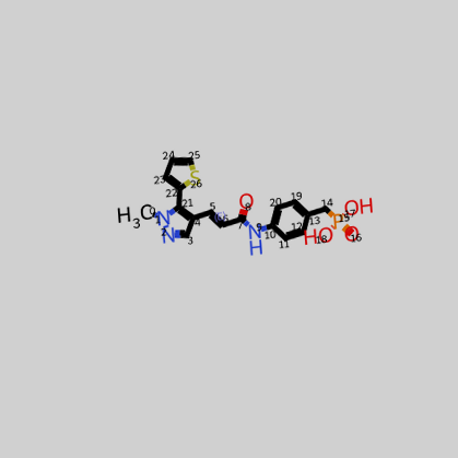 Cn1ncc(/C=C/C(=O)Nc2ccc(CP(=O)(O)O)cc2)c1-c1cccs1